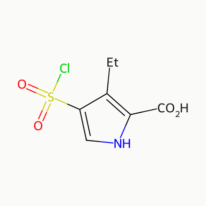 CCc1c(S(=O)(=O)Cl)c[nH]c1C(=O)O